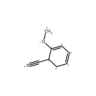 COC1=CC=CCC1C#N